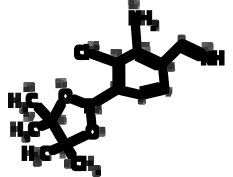 CC1(C)OB(c2ccc(C=N)c(N)c2Cl)OC1(C)C